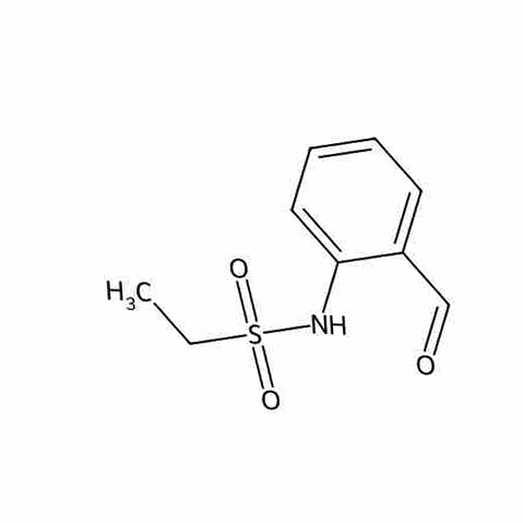 CCS(=O)(=O)Nc1ccccc1C=O